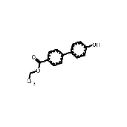 O=C(OCC(F)(F)F)c1ccc(-c2ccc(O)cc2)cc1